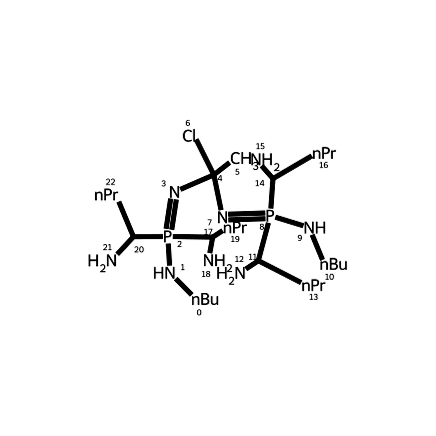 CCCCNP(=NC(C)(Cl)N=P(NCCCC)(C(N)CCC)C(N)CCC)(C(N)CCC)C(N)CCC